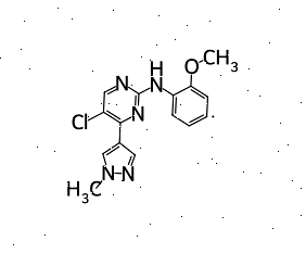 COc1c[c]ccc1Nc1ncc(Cl)c(-c2cnn(C)c2)n1